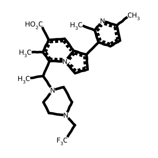 Cc1ccc(-c2ccn3c(C(C)N4CCN(CC(F)(F)F)CC4)c(C)c(C(=O)O)cc23)c(C)n1